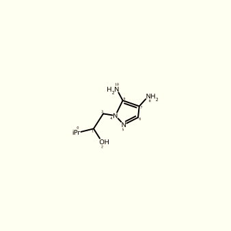 CC(C)C(O)Cn1ncc(N)c1N